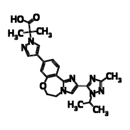 Cc1nc(-c2cn3c(n2)-c2ccc(-c4cnn(C(C)(C)C(=O)O)c4)cc2OCC3)n(C(C)C)n1